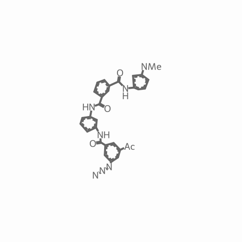 CNc1cccc(NC(=O)c2cccc(C(=O)Nc3cccc(NC(=O)c4cc(N=[N+]=[N-])cc(C(C)=O)c4)c3)c2)c1